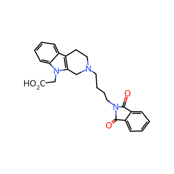 O=C(O)Cn1c2c(c3ccccc31)CCN(CCCCN1C(=O)c3ccccc3C1=O)C2